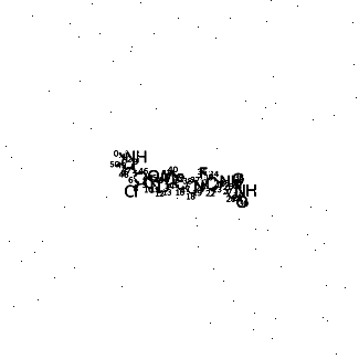 C=C1NC=C(c2cc(Cl)c(CN3CCc4c(CC5CCN(c6ccc(NC7CCC(=O)NC7=O)cc6F)CC5)cccc4C3)c(OC)c2)C(C)=C1C